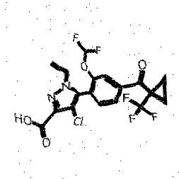 CCn1nc(C(=O)O)c(Cl)c1-c1ccc(C(=O)C2(C(F)(F)F)CC2)cc1OC(F)F